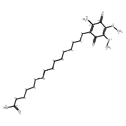 COC1=C(OC)C(=O)C(CCCCCCCCCCCCCCCC(=O)O)=C(C)C1=O